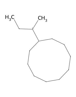 CC[C](C)C1CCCCCCCCC1